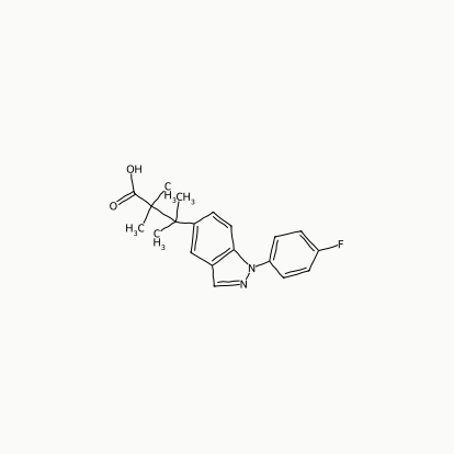 CC(C)(C(=O)O)C(C)(C)c1ccc2c(cnn2-c2ccc(F)cc2)c1